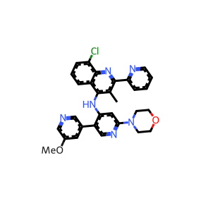 COc1cncc(-c2cnc(N3CCOCC3)cc2Nc2c(C)c(-c3ccccn3)nc3c(Cl)cccc23)c1